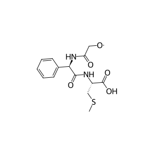 CSC[C@H](NC(=O)[C@H](NC(=O)C[O])c1ccccc1)C(=O)O